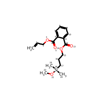 C=CCOC(=O)c1ccccc1C(=O)OCCC[Si](C)(C)OC